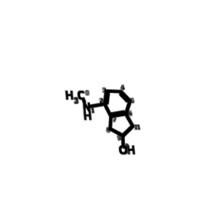 CNc1cccc2c1CC(O)C2